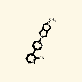 CN1CC2CN(c3ccc(-c4cccnc4C#N)cn3)CC2C1